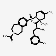 CCOC(=O)[C@]1(C(=O)C(N)Cc2cccc(C#N)c2)CC(C)=CCN1S(=O)(=O)c1ccc2c(c1)CCN(C(=O)C(F)(F)F)CC2